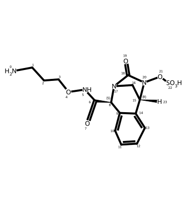 NCCCONC(=O)[C@@H]1c2ccccc2[C@@H]2CN1C(=O)N2OS(=O)(=O)O